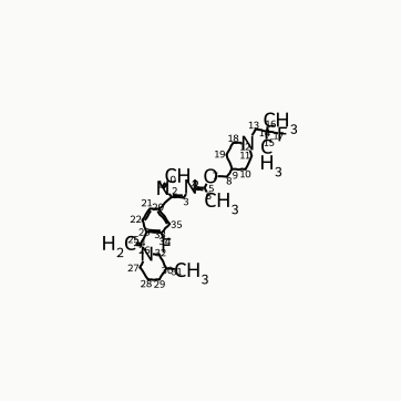 C=N/C(=C\N=C(/C)OCC1CCN(CC(C)(C)F)CC1)c1ccc(C(=C)N2CCCC(C)C2)c(F)c1